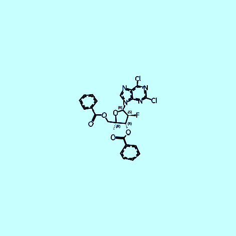 C[C@]1(COC(=O)c2ccccc2)O[C@@H](n2cnc3c(Cl)nc(Cl)nc32)[C@@H](F)[C@@H]1OC(=O)c1ccccc1